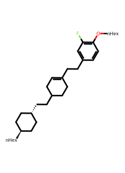 CCCCCCOc1ccc(CCC2=CCC(CC[C@H]3CC[C@H](CCCCCC)CC3)CC2)cc1F